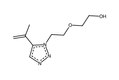 C=C(C)c1cnnn1CCOCCO